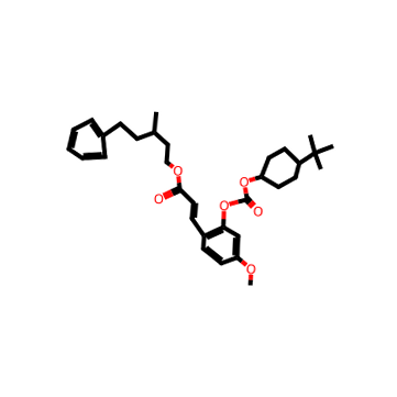 COc1ccc(/C=C/C(=O)OCCC(C)CCc2ccccc2)c(OC(=O)OC2CCC(C(C)(C)C)CC2)c1